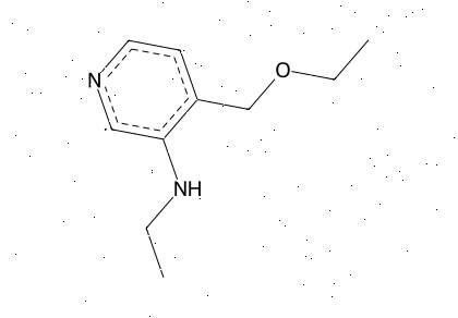 CCNc1[c]nccc1COCC